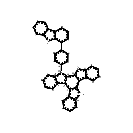 c1ccc2c(c1)sc1c(-c3ccc(-n4c5ccccc5c5c6c7ccccc7sc6c6c7ccccc7sc6c54)cc3)cccc12